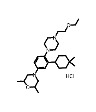 CCOCCN1CCN(c2ccc(N3CC(C)OC(C)C3)cc2C2CCC(C)(C)CC2)CC1.Cl